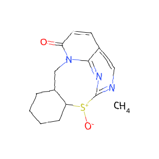 C.O=c1ccc2cnc3nc2n1CC1CCCCC1[S+]3[O-]